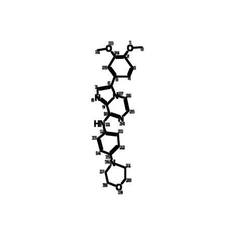 COc1ccc(-c2cnc3c(Nc4ccc(N5CCOCC5)cc4)nccn23)cc1OC